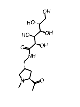 CC(=O)[C@@H]1C[C@@H](CNC(=O)[C@H](O)[C@@H](O)[C@H](O)[C@H](O)CO)CN1C